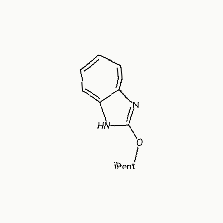 CCCC(C)Oc1nc2ccccc2[nH]1